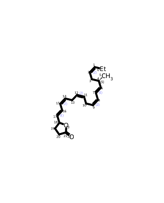 CC/C=C\C[C@H](C)/C=C/C=C\C/C=C\C/C=C\C=C\C1CCC(=O)O1